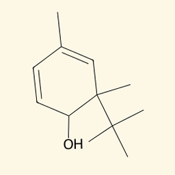 CC1=CC(C)(C(C)(C)C)C(O)C=C1